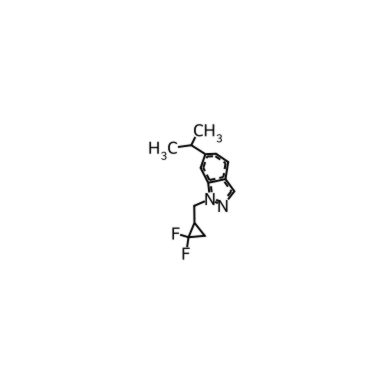 CC(C)c1ccc2cnn(CC3CC3(F)F)c2c1